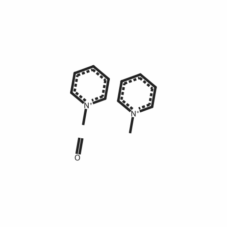 C=O.C[n+]1ccccc1.C[n+]1ccccc1